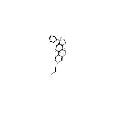 C[C@]12CCC(OCCCN)C=C1CC[C@@H]1[C@H]2CC[C@]2(C)C(O)(c3ccccc3)CC[C@@]12O